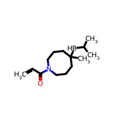 C=CC(=O)N1CCCC(C)(BC(C)C)CCC1